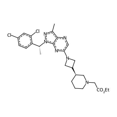 CCOC(=O)CN1CCC[C@@H](C2CN(c3cnc4c(C)nn([C@H](C)c5ccc(Cl)cc5Cl)c4n3)C2)C1